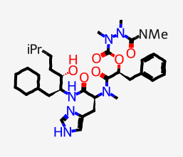 CNC(=O)N(C)N(C)C(=O)O[C@@H](Cc1ccccc1)C(=O)N(C)[C@@H](Cc1c[nH]cn1)C(=O)N[C@@H](CC1CCCCC1)[C@@H](O)CCC(C)C